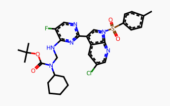 Cc1ccc(S(=O)(=O)n2cc(-c3ncc(F)c(NCN(C(=O)OC(C)(C)C)C4CCCCC4)n3)c3cc(Cl)cnc32)cc1